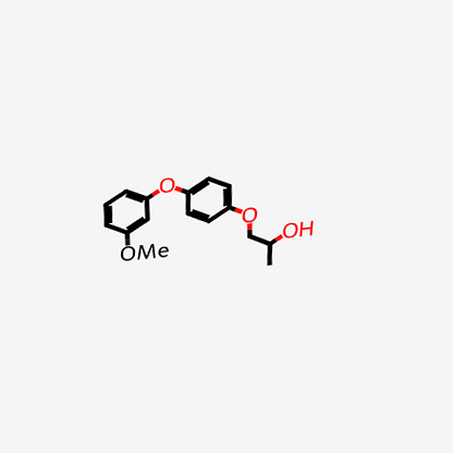 COc1cccc(Oc2ccc(OCC(C)O)cc2)c1